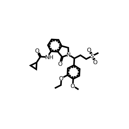 CCOc1cc(C(CCS(C)(=O)=O)N2Cc3cccc(NC(=O)C4CC4)c3C2=O)ccc1OC